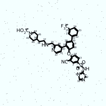 N#Cc1cc(S(=O)(=O)Nc2ncns2)ccc1Oc1ccc(-c2cccc(C(F)(F)F)c2)cc1-c1ccnc(CNCCC2CCN(C(=O)O)CC2)c1